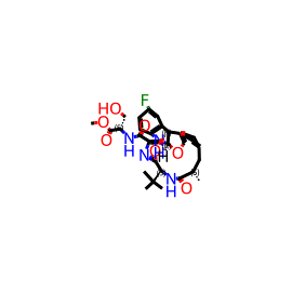 COC(=O)[C@H](CO)NC(=O)c1nc2oc1[C@@]13c4cc(F)ccc4N[C@@H]1Oc1ccc(cc13)C[C@H](C)C(=O)N[C@H]2C(C)(C)C